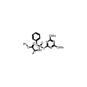 COc1nc(OC)nc(O[P@](=O)(N[C@@H](C)C(=O)OC(C)C)Oc2ccccc2)n1